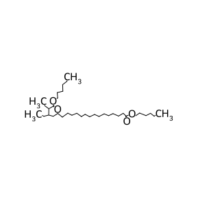 CCCCCCOC(=O)CCCCCCCCCCCCCCCCC(CC)C(CC)C(=O)OCCCCCC